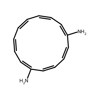 Nc1ccccccccc(N)cccc1